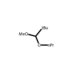 CCCOC(OC)C(C)(C)C